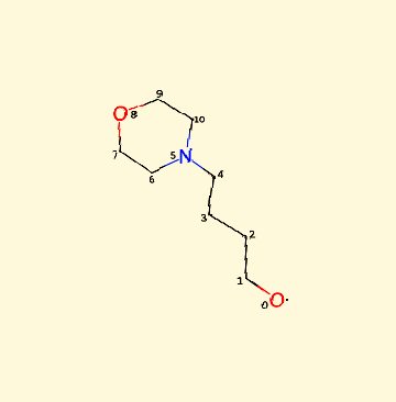 [O]CCCCN1CCOCC1